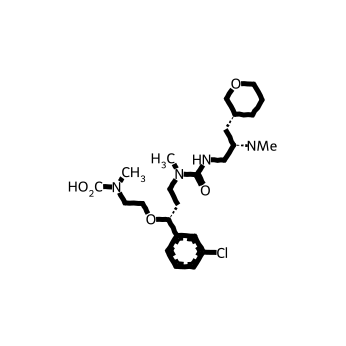 CN[C@H](CNC(=O)N(C)CC[C@@H](OCCN(C)C(=O)O)c1cccc(Cl)c1)C[C@H]1CCCOC1